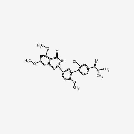 COc1cc(OC)c2c(=O)[nH]c(-c3ccc(OC)c(-c4ccc(C(=O)N(C)C)cc4Cl)c3)nc2c1